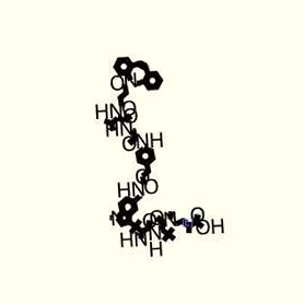 CNC(C(=O)NC(C(=O)N(C)C/C=C(\C)C(=O)O)C(C)(C)C)C(C)(C)c1cn(C)c2ccc(CNC(=O)OCc3ccc(NC(=O)CNC(=O)C(NC(=O)CCC(=O)N4Cc5ccccc5C#Cc5ccccc54)C(C)C)cc3)cc12